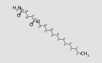 CCCCCCCCCCCCCCOC(=O)CCCC(N)=O